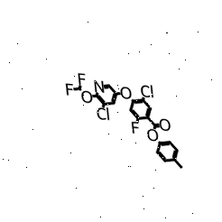 Cc1ccc(OC(=O)c2cc(Cl)c(Oc3cnc(OC(F)F)c(Cl)c3)cc2F)cc1